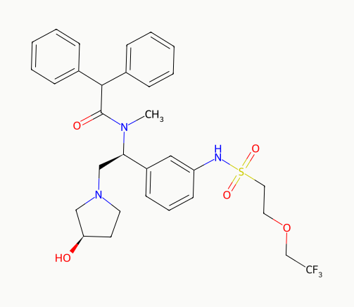 CN(C(=O)C(c1ccccc1)c1ccccc1)[C@H](CN1CC[C@@H](O)C1)c1cccc(NS(=O)(=O)CCOCC(F)(F)F)c1